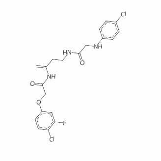 C=C(CCNC(=O)CNc1ccc(Cl)cc1)NC(=O)COc1ccc(Cl)c(F)c1